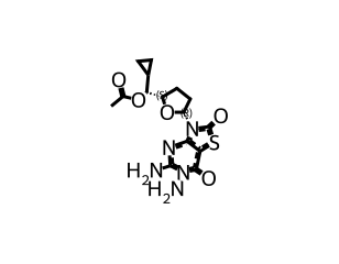 CC(=O)OC(C1CC1)[C@@H]1CC[C@H](n2c(=O)sc3c(=O)n(N)c(N)nc32)O1